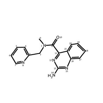 CN(Cc1ccccn1)C(=O)c1nc(N)nc2ccccc12